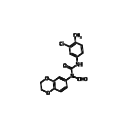 Cc1ccc(NC(=O)N(C=O)c2ccc3c(c2)OCCO3)cc1Cl